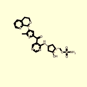 Cc1sc(C(=O)c2cncnc2N[C@@H]2C[C@H](COS(N)(=O)=O)[C@@H](O)C2)cc1[C@H]1OCCc2cccnc21